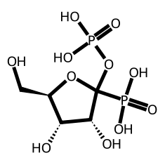 O=P(O)(O)OC1(P(=O)(O)O)O[C@H](CO)[C@@H](O)[C@H]1O